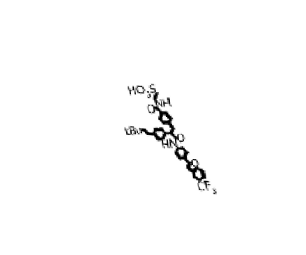 CC(C)(C)/C=C/c1ccc(C(Cc2ccc(C(=O)NCCS(=O)(=O)O)cc2)C(=O)Nc2ccc(-c3cc4cc(C(F)(F)F)ccc4o3)cc2)cc1